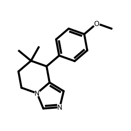 COc1ccc(C2c3cncn3CCC2(C)C)cc1